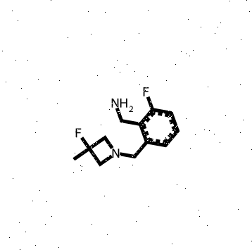 CC1(F)CN(Cc2cccc(F)c2CN)C1